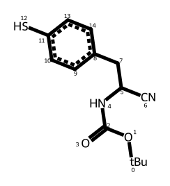 CC(C)(C)OC(=O)NC(C#N)Cc1ccc(S)cc1